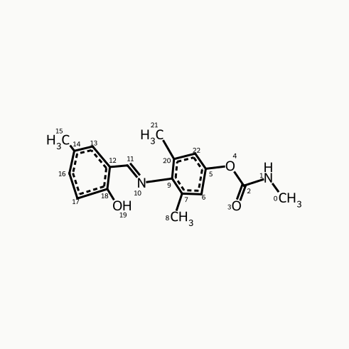 CNC(=O)Oc1cc(C)c(N=Cc2cc(C)ccc2O)c(C)c1